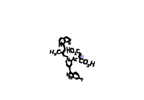 CC(=O)C1CC(c2noc3cc(F)ccc23)CCN1CCC(C)Cc1nccc2ccsc12.O=C(O)/C=C/C(=O)O